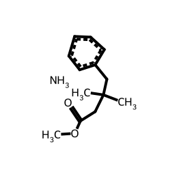 COC(=O)CC(C)(C)Cc1ccccc1.N